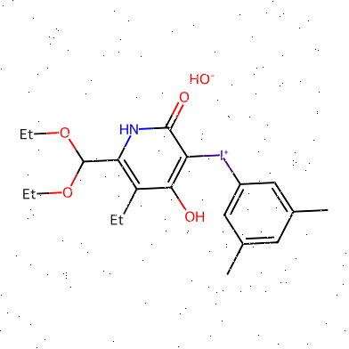 CCOC(OCC)c1[nH]c(=O)c([I+]c2cc(C)cc(C)c2)c(O)c1CC.[OH-]